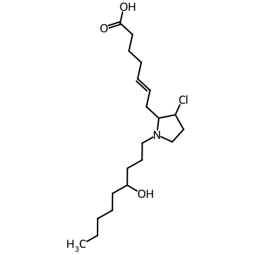 CCCCCC(O)CCCN1CCC(Cl)C1CC=CCCCC(=O)O